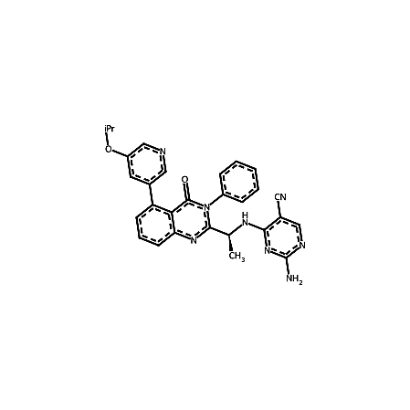 CC(C)Oc1cncc(-c2cccc3nc([C@H](C)Nc4nc(N)ncc4C#N)n(-c4ccccc4)c(=O)c23)c1